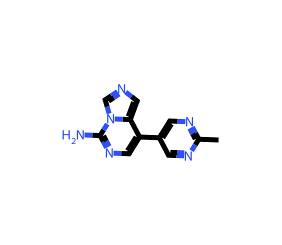 Cc1ncc(-c2cnc(N)n3cncc23)cn1